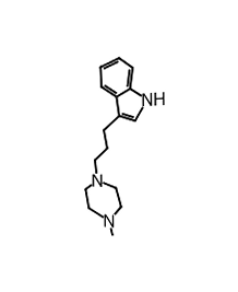 CN1CCN(CCCc2c[nH]c3ccccc23)CC1